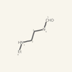 CCNCC[N][C]=O